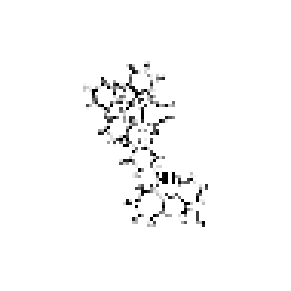 CC1C=CC=CC1C1=C(Nc2ccc(-c3cccc4c3C3C=CC=CC3C43c4ccccc4-c4ccccc43)cc2)C=CCC=C1